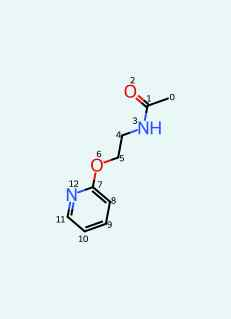 CC(=O)NCCOc1ccccn1